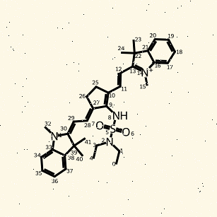 CCN(CC)S(=O)(=O)NC1=C(/C=C/C2=[N+](C)c3ccccc3C2(C)C)CC/C1=C\C=C1\N(C)c2ccccc2C1(C)C